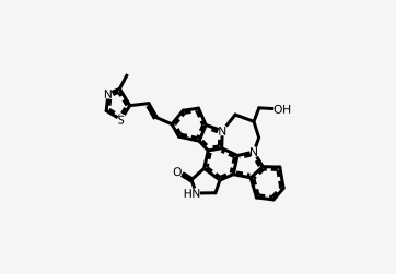 Cc1ncsc1/C=C/c1ccc2c(c1)c1c3c(c4c5ccccc5n5c4c1n2CC(CO)C5)CNC3=O